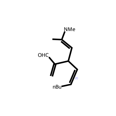 C=C(C=O)C(C=C(C)NC)/C=C\CCCC